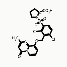 Cc1cc(=O)n2cccc(OCc3c(Cl)ccc(S(=O)(=O)N4CCC[C@H]4C(=O)O)c3Cl)c2n1